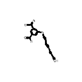 C#CC#CC#CC#COc1cc(C(=O)Cl)cc(C(=O)Cl)c1